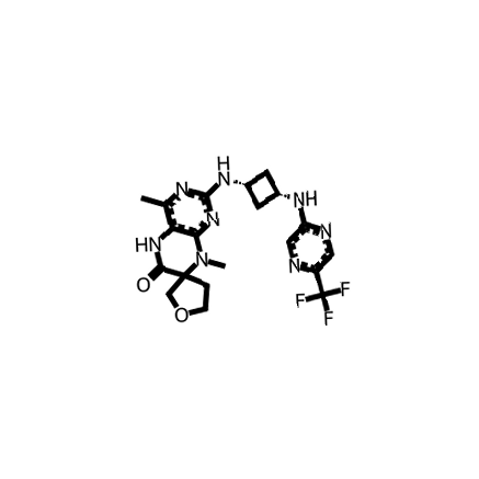 Cc1nc(N[C@H]2C[C@@H](Nc3cnc(C(F)(F)F)cn3)C2)nc2c1NC(=O)C1(CCOC1)N2C